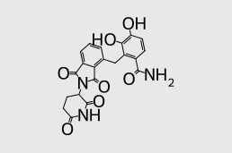 NC(=O)c1ccc(O)c(O)c1Cc1cccc2c1C(=O)N(C1CCC(=O)NC1=O)C2=O